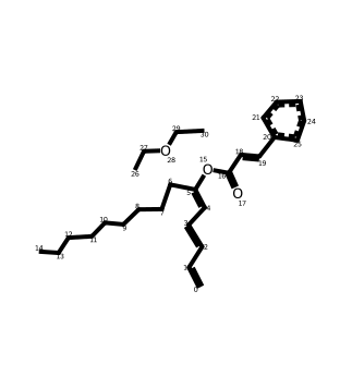 C=CC=CC=C(CCCCCCCCC)OC(=O)C=Cc1ccccc1.CCOCC